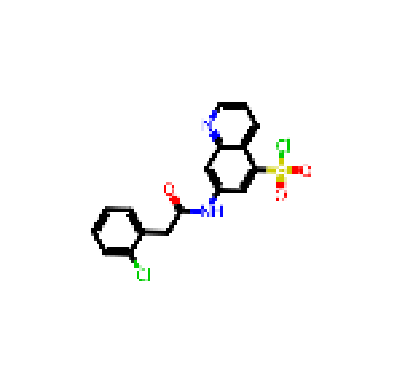 O=C(Cc1ccccc1Cl)Nc1cc(S(=O)(=O)Cl)c2cccnc2c1